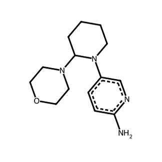 Nc1ccc(N2CCCCC2N2CCOCC2)cn1